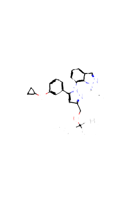 Cn1ncc2cccc(-n3nc(COC(C)(C)C(=O)O)cc3-c3cccc(OC4CC4)c3)c21